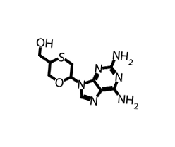 Nc1nc(N)c2ncn(C3CSC(CO)CO3)c2n1